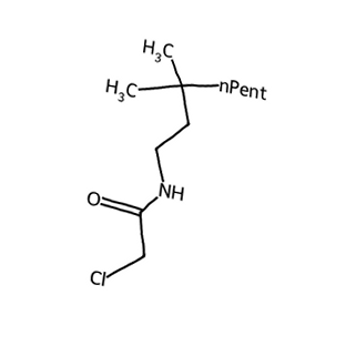 CCCCCC(C)(C)CCNC(=O)CCl